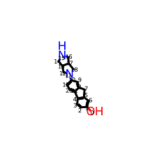 Oc1ccc2c(c1)Cc1cc(N3CC4CNCC4C3)ccc1-2